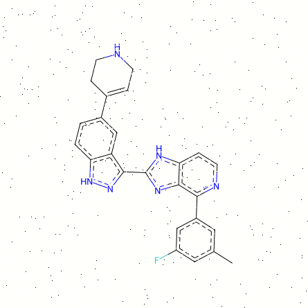 Cc1cc(F)cc(-c2nccc3[nH]c(-c4n[nH]c5ccc(C6=CCNCC6)cc45)nc23)c1